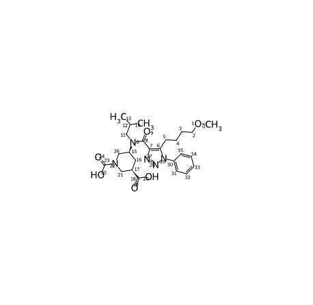 COCCCCc1c(C(=O)N(CC(C)C)[C@H]2C[C@@H](C(=O)O)CN(C(=O)O)C2)nnn1-c1ccccc1